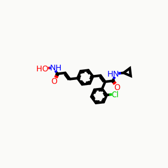 O=C(/C=C/c1ccc(/C=C(/C(=O)NC2CC2)c2ccccc2Cl)cc1)NO